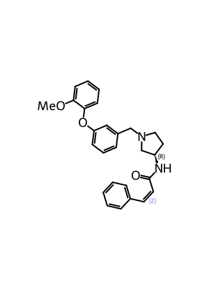 COc1ccccc1Oc1cccc(CN2CC[C@@H](NC(=O)/C=C\c3ccccc3)C2)c1